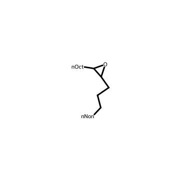 CCCCCCCCCCCCC1OC1CCCCCCCC